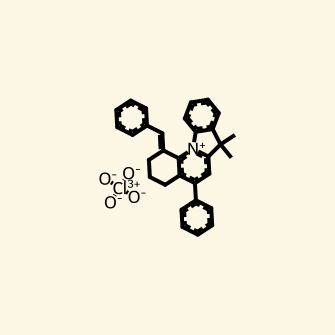 CC1(C)c2ccccc2-[n+]2c1cc(-c1ccccc1)c1c2C(=Cc2ccccc2)CCC1.[O-][Cl+3]([O-])([O-])[O-]